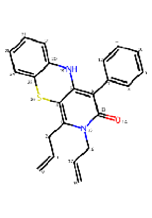 C=CCc1c2c(c(-c3ccccc3)c(=O)n1CC=C)Nc1ccccc1S2